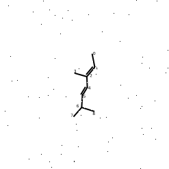 C/C=C(C)/C=C/C(C)C